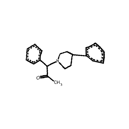 CC(=O)C(c1ccccc1)N1CCC(c2ccccc2)CC1